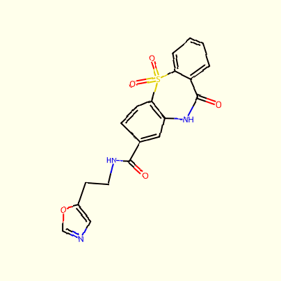 O=C(NCCc1cnco1)c1ccc2c(c1)NC(=O)c1ccccc1S2(=O)=O